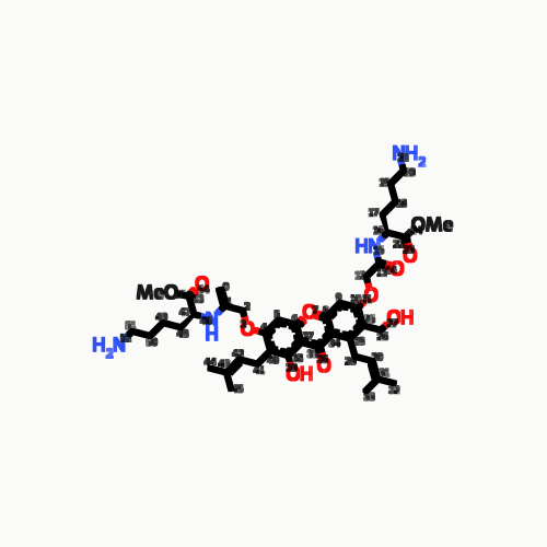 C=C(COc1cc2oc3cc(OCC(=O)N[C@@H](CCCCN)C(=O)OC)c(CO)c(CC=C(C)C)c3c(=O)c2c(O)c1CC=C(C)C)N[C@@H](CCCCN)C(=O)OC